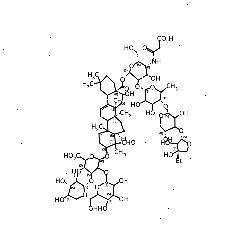 CC[C@]1(O)CO[C@@H](OC2C(O)[C@H](O[C@H]3C(C)O[C@@H](OC4C(O)[C@@H](NC(=O)CC(=O)O)[C@@H](CO)O[C@H]4OC(=O)[C@]45CCC(C)(C)CC4C4=CCC6C7(C)CC[C@H](O[C@@H]8OC(C(=O)O)[C@@H](O)[C@H](O[C@@H]9OC[C@@H](O)[C@H](O)C9O)C8O[C@@H]8OC(CO)[C@H](O)[C@H](O)C8O)[C@](C)(C=O)[C@@H]7CC[C@]6(C)[C@]4(C)CC5O)C(O)C3O)OC[C@H]2O)C1O